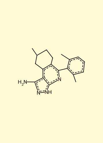 Cc1cccc(C)c1-c1nc2[nH]nc(N)c2c2c1CCC(C)C2